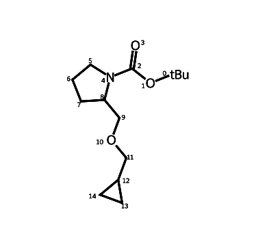 CC(C)(C)OC(=O)N1CCCC1COCC1CC1